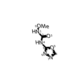 CONC(=O)Nc1nn[c]o1